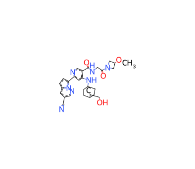 COC1CN(C(=O)CNC(=O)c2cnc(-c3ccc4cc(C#N)cnn34)cc2NC23CCC(CC2)C(CO)C3)C1